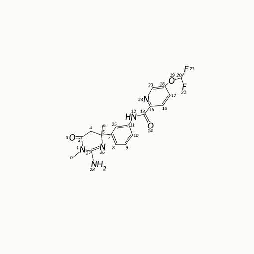 CN1C(=O)CC(C)(c2cccc(NC(=O)c3ccc(OC(F)F)cn3)c2)N=C1N